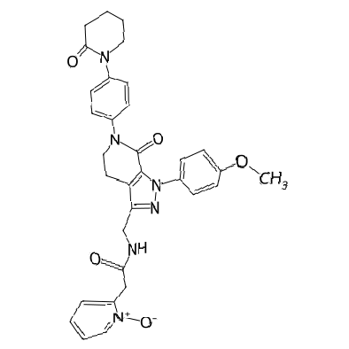 COc1ccc(-n2nc(CNC(=O)Cc3cccc[n+]3[O-])c3c2C(=O)N(c2ccc(N4CCCCC4=O)cc2)CC3)cc1